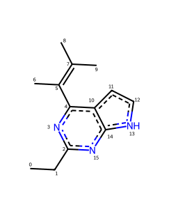 CCc1nc(C(C)=C(C)C)c2cc[nH]c2n1